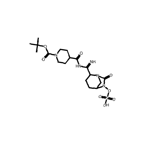 CC(C)(C)OC(=O)N1CCC(C(=O)NC(=N)C2CCC3CN2C(=O)N3OS(=O)(=O)O)CC1